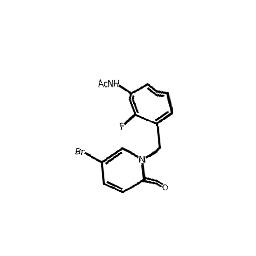 CC(=O)Nc1cccc(Cn2cc(Br)ccc2=O)c1F